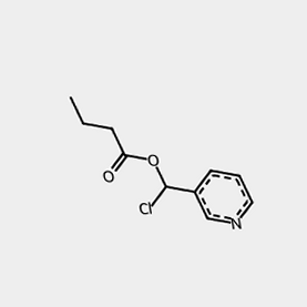 CCCC(=O)OC(Cl)c1cccnc1